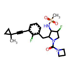 CC1(C#Cc2cccc(CC3C(NS(C)(=O)=O)C(F)CN3C(=O)N3CCC3)c2F)CC1